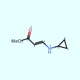 COC(=O)/C=C/NC1CC1